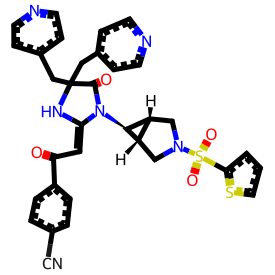 N#Cc1ccc(C(=O)/C=C2\NC(Cc3ccncc3)(Cc3ccncc3)C(=O)N2[C@H]2[C@@H]3CN(S(=O)(=O)c4cccs4)C[C@@H]32)cc1